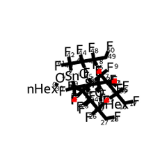 CCCCCC[O][Sn]([O][Sn]([O]CCCCCC)([C](F)(F)C(F)(F)C(F)(F)CF)[C](F)(F)C(F)(F)C(F)(F)CF)([C](F)(F)C(F)(F)C(F)(F)CF)[C](F)(F)C(F)(F)C(F)(F)CF